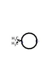 CN(C)/C1=C/CCCCCC/C=C\CCCCCCC1